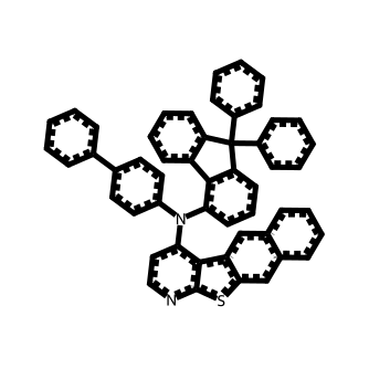 c1ccc(-c2ccc(N(c3cccc4c3-c3ccccc3C4(c3ccccc3)c3ccccc3)c3ccnc4sc5cc6ccccc6cc5c34)cc2)cc1